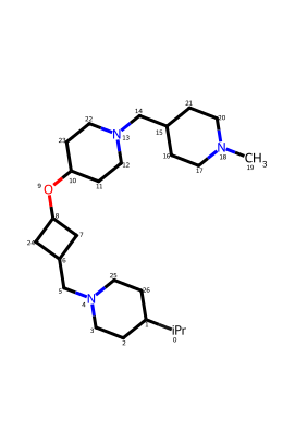 CC(C)C1CCN(CC2CC(OC3CCN(CC4CCN(C)CC4)CC3)C2)CC1